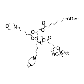 CCCCCCCCCCCCCCCCC(=O)OCC(OC(=O)CCCCN1CCOCC1)C(COC(=O)CCC(OCCCCCCCC)OCCCCCCCC)OC(=O)CCCCN1CCOCC1